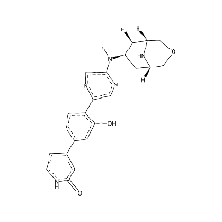 CN(c1cnc(-c2ccc(-c3cc[nH]c(=O)c3)cc2O)cn1)[C@@H]1C[C@H]2COC[C@H](N2)[C@@H]1F